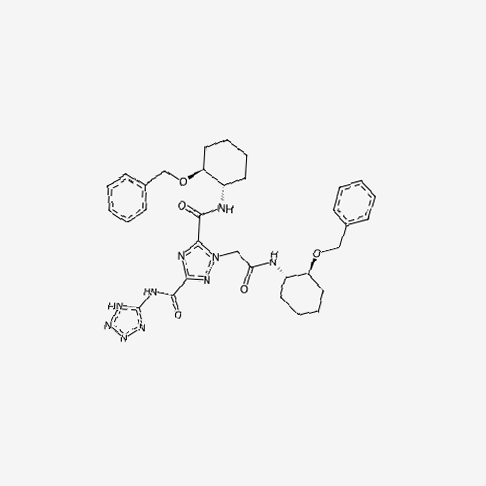 O=C(Cn1nc(C(=O)Nc2nnn[nH]2)nc1C(=O)N[C@H]1CCCC[C@@H]1OCc1ccccc1)N[C@H]1CCCC[C@@H]1OCc1ccccc1